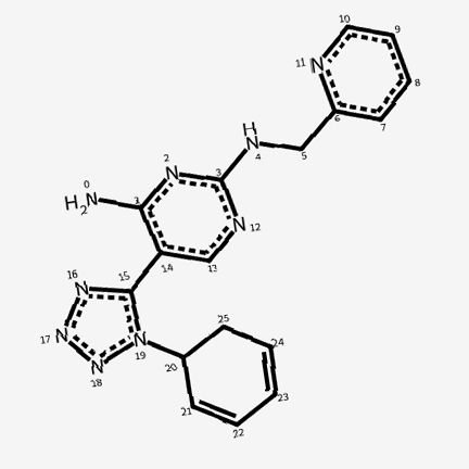 Nc1nc(NCc2ccccn2)ncc1-c1nnnn1C1C=CC=CC1